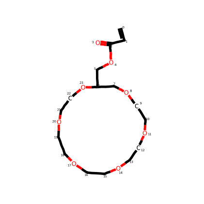 C=CC(=O)OCC1COCCOCCOCCOCCOCCO1